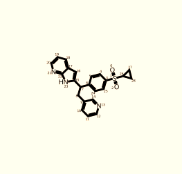 O=S(=O)(c1ccc(C(Cc2cccnc2)c2cc3cccnc3[nH]2)cc1)C1CC1